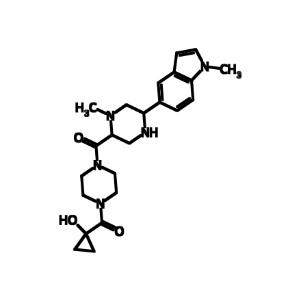 CN1CC(c2ccc3c(ccn3C)c2)NCC1C(=O)N1CCN(C(=O)C2(O)CC2)CC1